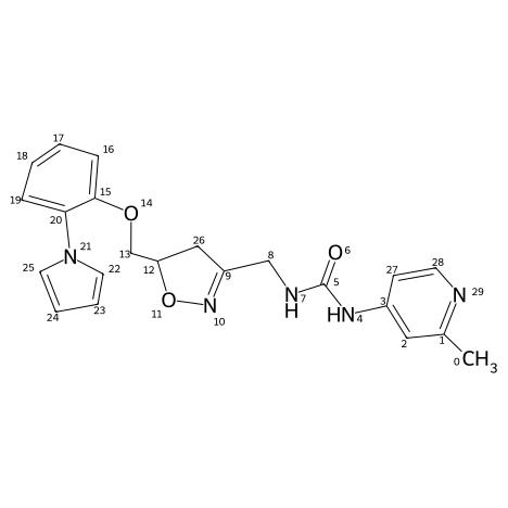 Cc1cc(NC(=O)NCC2=NOC(COc3ccccc3-n3cccc3)C2)ccn1